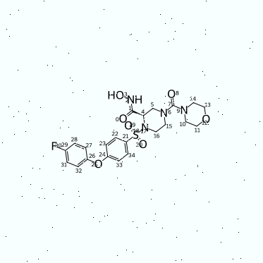 O=C(NO)[C@H]1CN(C(=O)N2CCOCC2)CCN1S(=O)(=O)c1ccc(Oc2ccc(F)cc2)cc1